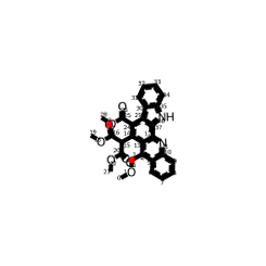 COC(=O)c1c2ccccc2nc2c1c(C(C(=O)OC)C(=O)OC)c(C(=O)OC)c1c3ccccc3[nH]c21